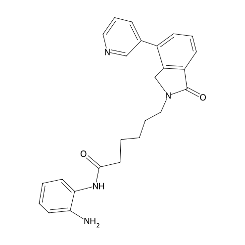 Nc1ccccc1NC(=O)CCCCCN1Cc2c(cccc2-c2cccnc2)C1=O